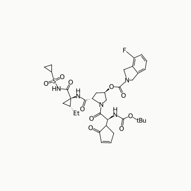 CC[C@@H]1C[C@]1(NC(=O)[C@@H]1C[C@@H](OC(=O)N2Cc3cccc(F)c3C2)CN1C(=O)[C@@H](NC(=O)OC(C)(C)C)C1CC=CC1=O)C(=O)NS(=O)(=O)C1CC1